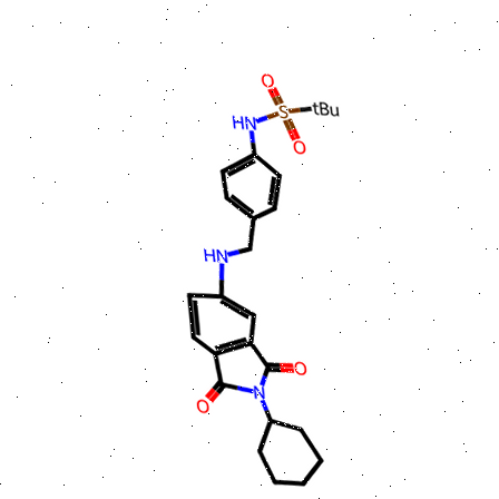 CC(C)(C)S(=O)(=O)Nc1ccc(CNc2ccc3c(c2)C(=O)N(C2CCCCC2)C3=O)cc1